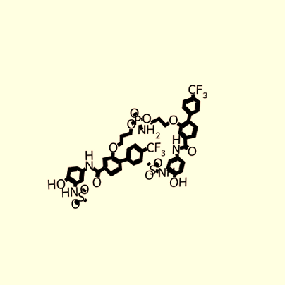 CS(=O)(=O)Nc1cc(NC(=O)c2ccc(-c3ccc(C(F)(F)F)cc3)c(OCCCOP(N)(=O)OCCCOc3cc(C(=O)Nc4ccc(O)c(NS(C)(=O)=O)c4)ccc3-c3ccc(C(F)(F)F)cc3)c2)ccc1O